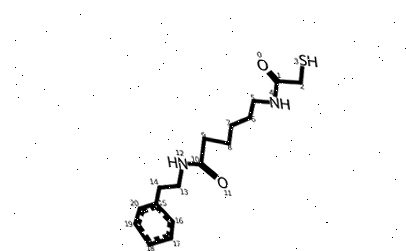 O=C(CS)NCCCCCC(=O)NCCc1ccccc1